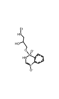 CCNCC(O)CO[N+]1([O-])NC=[N+]([O-])c2ccccc21